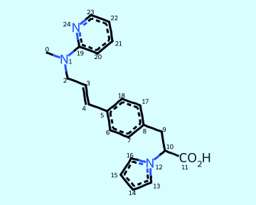 CN(CC=Cc1ccc(CC(C(=O)O)n2cccc2)cc1)c1ccccn1